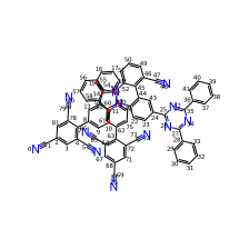 N#Cc1cc(C#N)c(-c2ccc3c(c2)c2ccccc2n3-c2ccc(-c3nc(-c4ccccc4)nc(-c4ccccc4)n3)cc2-c2c(C#N)cccc2-n2c3ccccc3c3cc(-c4c(C#N)cc(C#N)cc4C#N)ccc32)c(C#N)c1